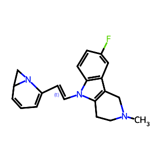 CN1CCc2c(c3cc(F)ccc3n2/C=C/C2=CC=CC3CN23)C1